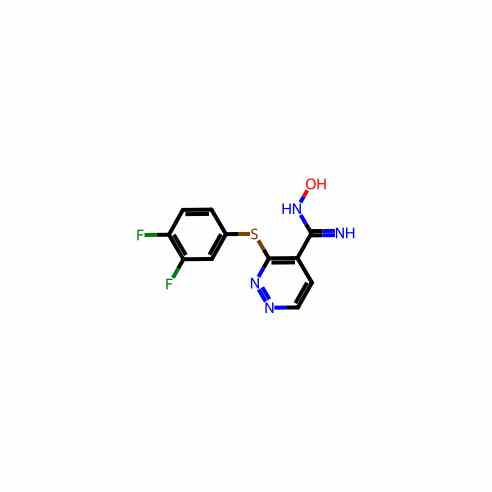 N=C(NO)c1ccnnc1Sc1ccc(F)c(F)c1